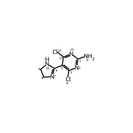 Nc1nc(Cl)c(C2=NCCN2)c(Cl)n1